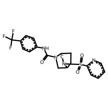 O=C(Nc1ccc(C(F)(F)F)cc1)N1CC2CCC1CN2S(=O)(=O)c1ccccn1